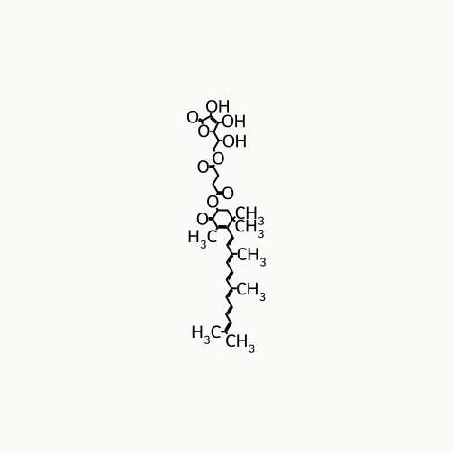 CC(C)=C/C=C/C=C(C)/C=C/C=C(C)/C=C/C1=C(C)C(=O)C(OC(=O)CCC(=O)OC[C@H](O)[C@H]2OC(=O)C(O)=C2O)CC1(C)C